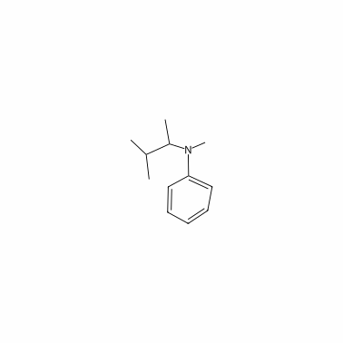 CC(C)C(C)N(C)c1ccccc1